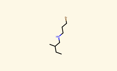 CCC(C)CNCCCBr